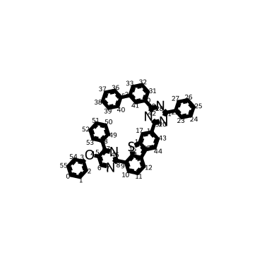 c1ccc(Oc2cnc(-c3cccc4c3sc3cc(-c5nc(-c6ccccc6)nc(-c6cccc(-c7ccccc7)c6)n5)ccc34)nc2-c2ccccc2)cc1